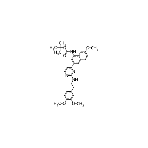 COc1ccc2cc(-c3ccnc(NCCc4ccc(OC)c(OC)c4)n3)cc(NC(=O)OC(C)(C)C)c2c1